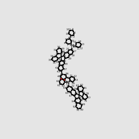 c1ccc(-c2cccc(N(c3ccccc3)c3ccc4cc5c(cc4c3)C3(c4ccccc4-c4ccccc43)c3cc4ccc(-c6cccc(-c7ccccc7N(c7ccccc7)c7ccc8cc9c(cc8c7)C7(c8ccccc8-c8ccccc87)c7cc8ccccc8cc7-9)c6)cc4cc3-5)c2)cc1